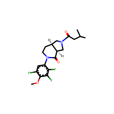 COc1c(F)cc(N2CC[C@H]3CN(C(=O)CC(C)C)C[C@H]3C2=O)c(F)c1F